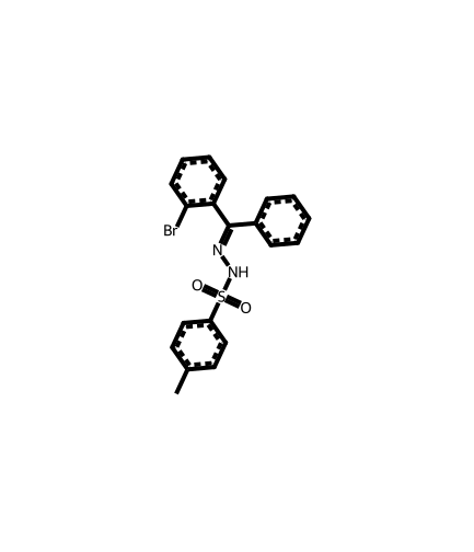 Cc1ccc(S(=O)(=O)N/N=C(\c2ccccc2)c2ccccc2Br)cc1